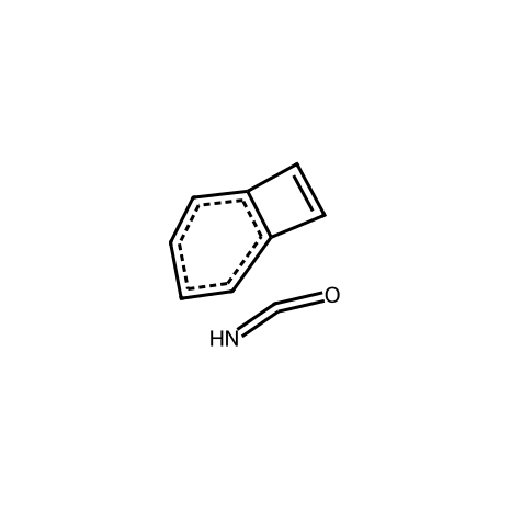 C1=Cc2ccccc21.N=C=O